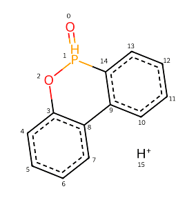 O=[PH]1Oc2ccccc2-c2ccccc21.[H+]